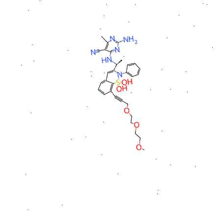 COCCOCCOCC#Cc1cccc2c1S(O)(O)N(c1ccccc1)C([C@H](C)Nc1nc(N)nc(C)c1C#N)=C2